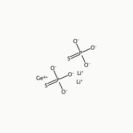 [Ge+4].[Li+].[Li+].[O-]P([O-])([O-])=S.[O-]P([O-])([O-])=S